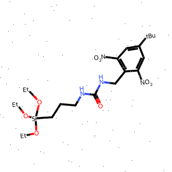 CCO[Si](CCCNC(=O)NCc1c([N+](=O)[O-])cc(C(C)(C)C)cc1[N+](=O)[O-])(OCC)OCC